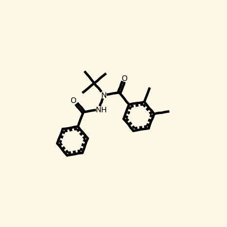 Cc1cccc(C(=O)N(NC(=O)c2ccccc2)C(C)(C)C)c1C